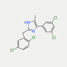 Cc1[nH]c(Cc2cc(Cl)ccc2Cl)nc1-c1cc(Cl)cc(Cl)c1